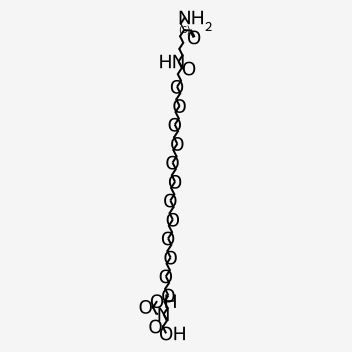 NC[C@@H](C=O)CCCCNC(=O)CCOCCOCCOCCOCCOCCOCCOCCOCCOCCOCCOCCOCCN(CC(=O)O)CC(=O)O